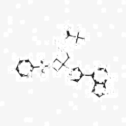 N#CCC1(n2cc(-c3ncnc4[nH]ccc34)cn2)CN(S(=O)(=O)c2ccccn2)C1.O=C(O)C(F)(F)F